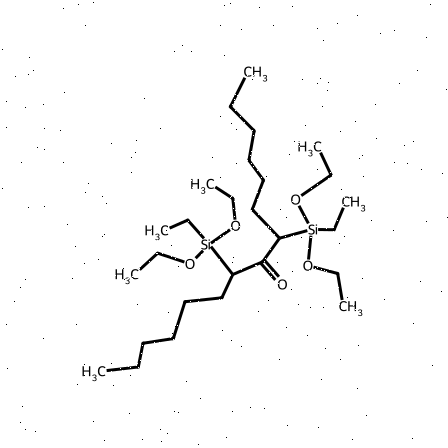 CCCCCCC(C(=O)C(CCCCCC)[Si](CC)(OCC)OCC)[Si](CC)(OCC)OCC